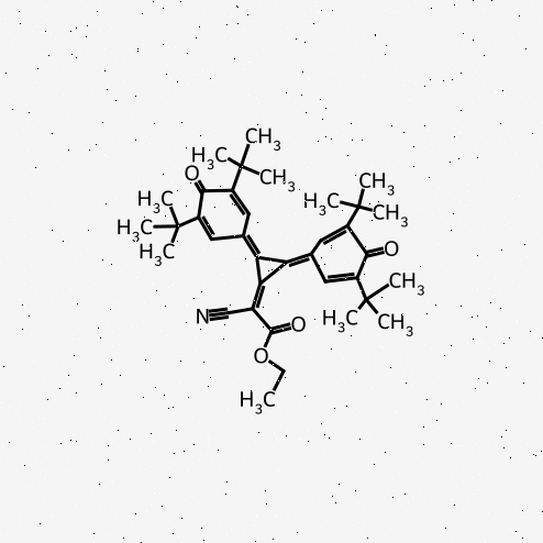 CCOC(=O)C(C#N)=C1C(=C2C=C(C(C)(C)C)C(=O)C(C(C)(C)C)=C2)C1=C1C=C(C(C)(C)C)C(=O)C(C(C)(C)C)=C1